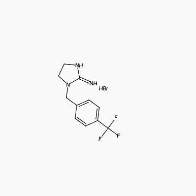 Br.N=C1NCCN1Cc1ccc(C(F)(F)F)cc1